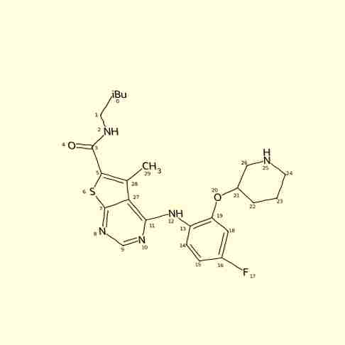 CCC(C)CNC(=O)c1sc2ncnc(Nc3ccc(F)cc3OC3CCCNC3)c2c1C